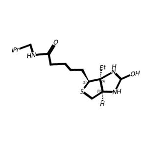 CC[C@]12NC(O)N[C@H]1CS[C@H]2CCCCC(=O)NCC(C)C